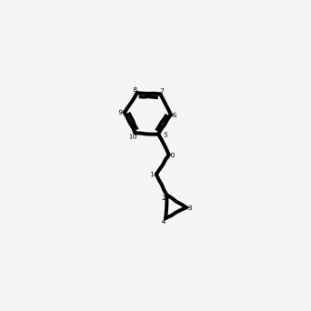 [CH](CC1CC1)c1ccccc1